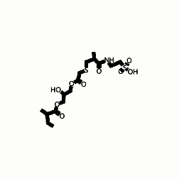 CCC(C)C(=O)OCC(O)COC(=O)CSCC(C)C(=O)NCCS(=O)(=O)O